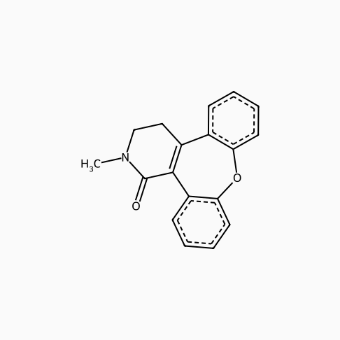 CN1CCC2=C(C1=O)c1ccccc1Oc1ccccc12